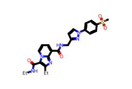 CCNC(=O)c1c(CC)nc2c(C(=O)NCc3ccn(-c4ccc(S(C)(=O)=O)cc4)n3)cccn12